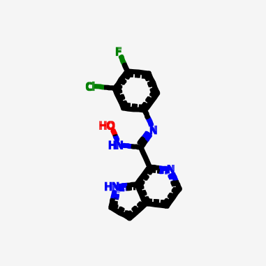 ONC(=Nc1ccc(F)c(Cl)c1)c1nccc2cc[nH]c12